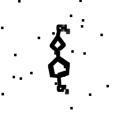 CC1CN(c2ccc(C(F)(F)F)cc2)C1